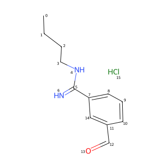 CCCCNC(=N)c1cccc(C=O)c1.Cl